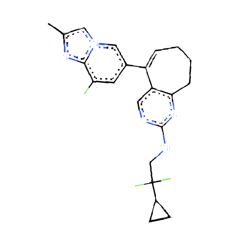 Cc1cn2cc(C3=CCCCc4nc(NCC(F)(F)C5CC5)ncc43)cc(F)c2n1